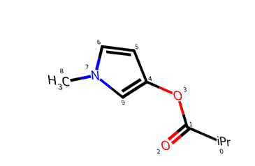 CC(C)C(=O)Oc1ccn(C)c1